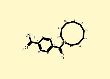 NC(=O)c1ccc(C(=O)N2CCCCCCCCC2)cc1